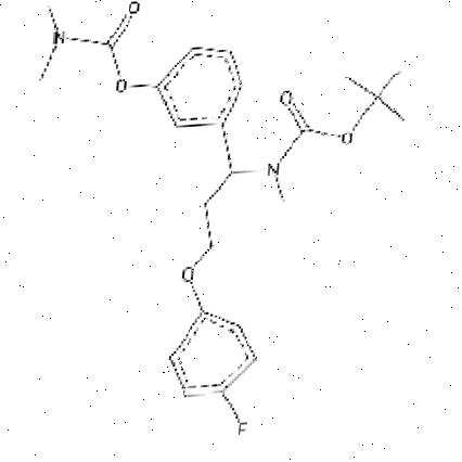 CN(C)C(=O)Oc1cccc(C(CCOc2ccc(F)cc2)N(C)C(=O)OC(C)(C)C)c1